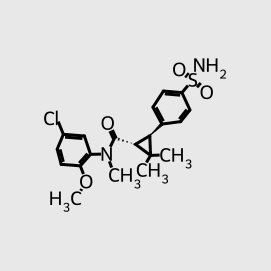 COc1ccc(Cl)cc1N(C)C(=O)[C@@H]1[C@@H](c2ccc(S(N)(=O)=O)cc2)C1(C)C